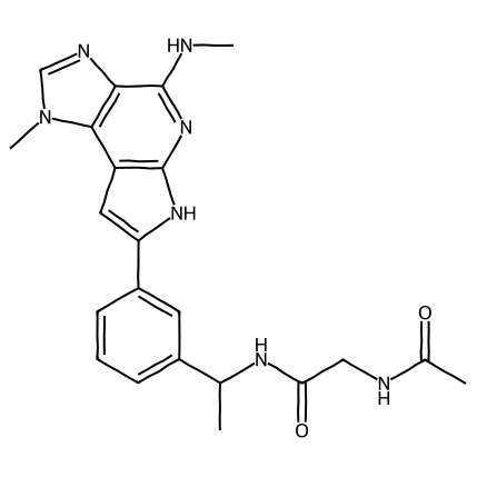 CNc1nc2[nH]c(-c3cccc(C(C)NC(=O)CNC(C)=O)c3)cc2c2c1ncn2C